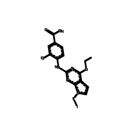 CCOc1nc(Nc2ccc(C(=O)O)cc2Cl)nc2c1ccn2SI